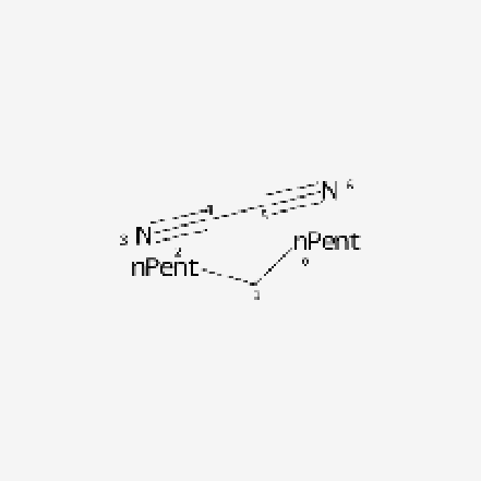 CCCCCCCCCCC.N#CC#N